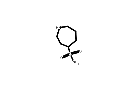 NS(=O)(=O)C1CCCNCC1